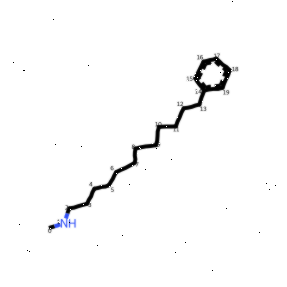 CNCCCCCCCCCCCCc1ccccc1